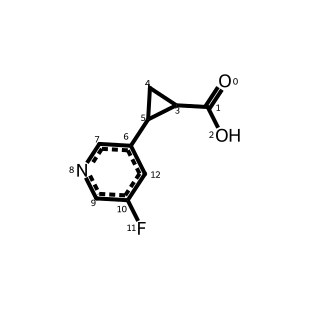 O=C(O)C1CC1c1cncc(F)c1